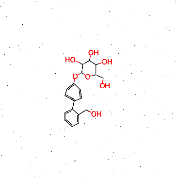 OCc1ccccc1-c1ccc(OC2OC(CO)C(O)C(O)C2O)cc1